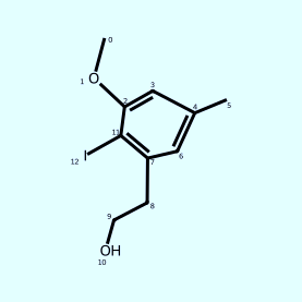 COc1cc(C)cc(CCO)c1I